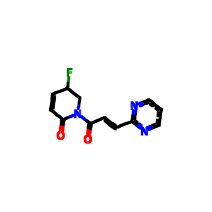 O=C(C=Cc1ncccn1)N1CC(F)C=CC1=O